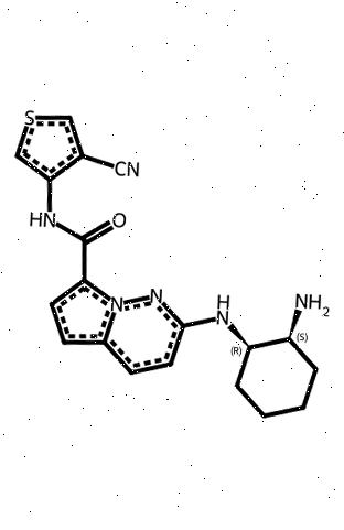 N#Cc1cscc1NC(=O)c1ccc2ccc(N[C@@H]3CCCC[C@@H]3N)nn12